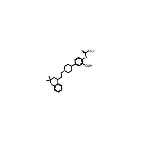 COc1cc(C2CCN(CCC3CC(C)(C)Oc4ccccc43)CC2)ccc1OC(=O)C(=O)O